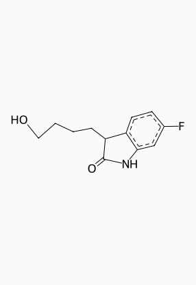 O=C1Nc2cc(F)ccc2C1CCCCO